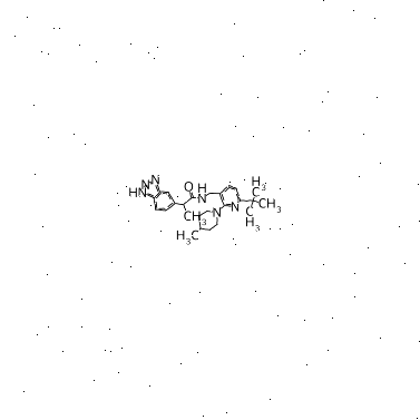 CC1CCN(c2nc(C(C)(C)C)ccc2CNC(=O)C(C)c2ccc3[nH]nnc3c2)CC1